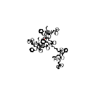 CCCCC(C(=O)NCCC(=O)OC)N(Cc1ccccc1)C(=O)CCCCCN(C(=O)CCCC(=O)N(Cc1ccccc1)C(CCCC)C(=O)NCCC(=O)OC)C(Cc1ccccc1)C(=O)NCCC(=O)N(Cc1ccccc1)C(CCCC(=O)OC)C(=O)NCCC